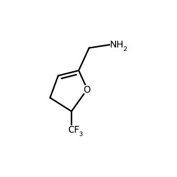 NCC1=CCC(C(F)(F)F)O1